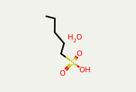 CCCCCS(=O)(=O)O.O